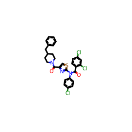 O=C(c1csc(N(C(=O)c2ccc(Cl)cc2Cl)c2ccc(Cl)cc2)n1)N1CCC(Cc2ccccc2)CC1